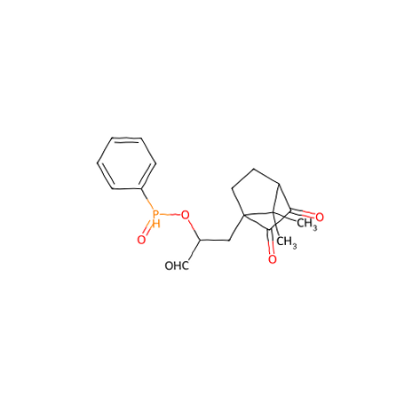 CC1(C)C2CCC1(CC(C=O)O[PH](=O)c1ccccc1)C(=O)C2=O